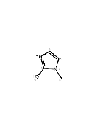 Cn1ccnc1O